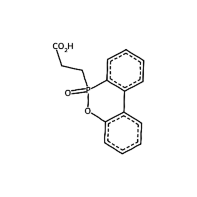 O=C(O)CCP1(=O)Oc2ccccc2-c2ccccc21